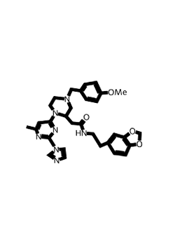 COc1ccc(CN2CCN(c3cc(C)nc(-n4ccnc4)n3)C(CC(=O)NCCc3ccc4c(c3)OCO4)C2)cc1